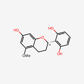 COc1cc(O)cc2c1CC[C@@H](c1c(O)cccc1O)O2